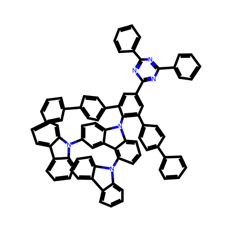 c1ccc(-c2ccc(-c3cc(-c4nc(-c5ccccc5)nc(-c5ccccc5)n4)cc(-c4ccc(-c5ccccc5)cc4)c3-n3c4ccc(-n5c6ccccc6c6ccccc65)cc4c4c(-n5c6ccccc6c6ccccc65)cccc43)cc2)cc1